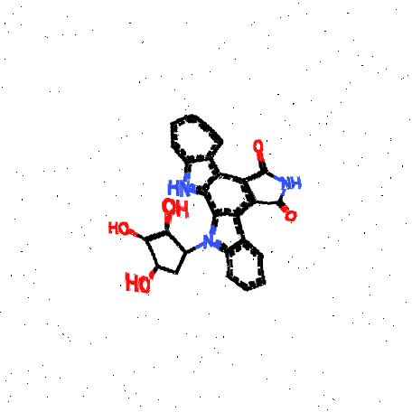 O=C1NC(=O)c2c1c1c3ccccc3[nH]c1c1c2c2ccccc2n1C1C[C@@H](O)[C@@H](O)[C@H]1O